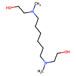 CN(CCO)CCCCCCN(C)CCO